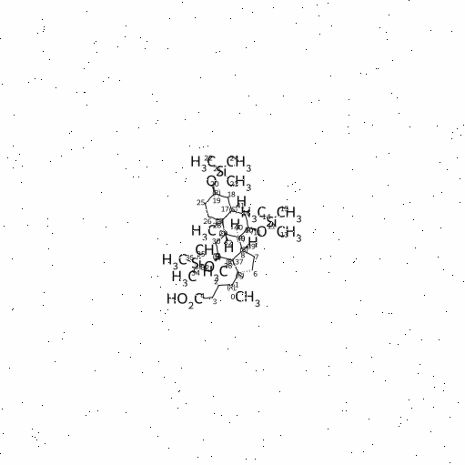 C[C@H](CCC(=O)O)[C@H]1CC[C@H]2[C@@H]3[C@H](O[Si](C)(C)C)C[C@@H]4C[C@H](O[Si](C)(C)C)CC[C@]4(C)[C@H]3C[C@H](O[Si](C)(C)C)[C@]12C